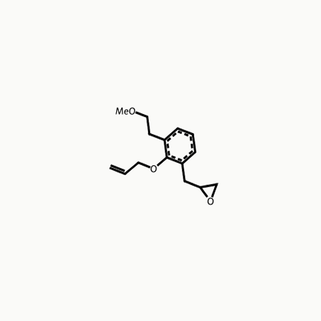 C=CCOc1c(CCOC)cccc1CC1CO1